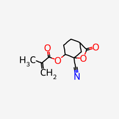 C=C(C)C(=O)OC1CCC2CC1(C#N)OC2=O